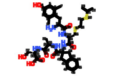 Cc1cc(O)cc(C)c1CC(N)C(=O)N[C@H](CSCCSC(C)C)C(=O)NC1(C(=O)N[C@H](C)C(=O)N[C@@H](CO)C(=O)O)Cc2ccccc2C1